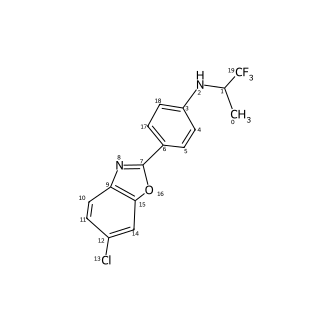 CC(Nc1ccc(-c2nc3ccc(Cl)cc3o2)cc1)C(F)(F)F